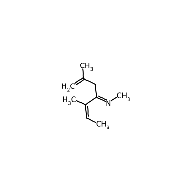 C=C(C)CC(=N\C)/C(C)=C\C